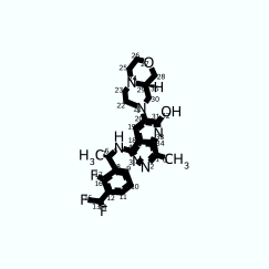 Cc1nnc(N[C@H](C)c2cccc(C(F)F)c2F)c2cc(N3CCN4CCOC[C@@H]4C3)c(O)nc12